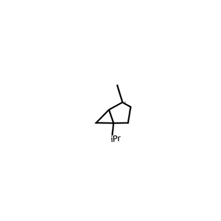 C[C]1CCC2(C(C)C)CC12